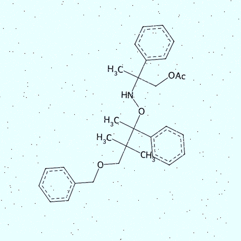 CC(=O)OCC(C)(NOC(C)(c1ccccc1)C(C)(C)COCc1ccccc1)c1ccccc1